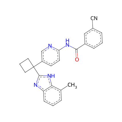 Cc1cccc2nc(C3(c4ccc(NC(=O)c5cccc(C#N)c5)nc4)CCC3)[nH]c12